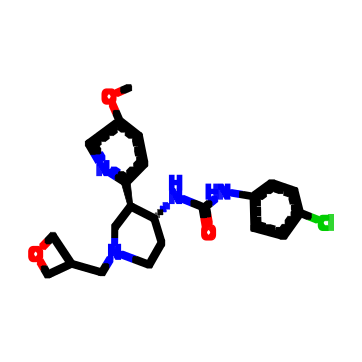 COc1ccc([C@@H]2CN(CC3COC3)CC[C@H]2NC(=O)Nc2ccc(Cl)cc2)nc1